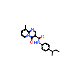 CCC(C)c1ccc(NC(=O)c2cnc3c(C)cccn3c2=O)cc1